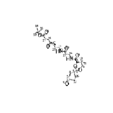 COc1ccc(C2OCC(C)(C)[C@H](C(=O)NCCC(=O)NCCSC(=O)CCC(=O)OC(C)(C)C)O2)cc1